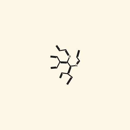 C=C/C=N\C(=C(C=C)C=C)C(/N=C\C=C)=C(C=C)C=C